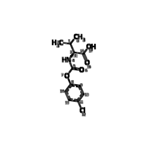 CC(C)[C@H](NC(=O)Oc1ccc(Cl)cc1)C(=O)O